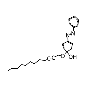 CCCCCCCCCCCCOC1(O)C=CC(N=Nc2ccccc2)=CC1